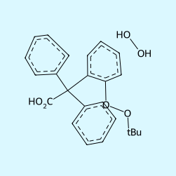 CC(C)(C)OOc1ccccc1C(C(=O)O)(c1ccccc1)c1ccccc1.OO